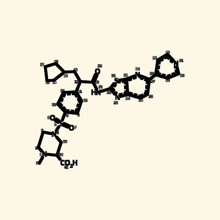 CN1CCN(S(=O)(=O)c2ccc(C(CC3CCCC3)C(=O)Nc3nc4ccc(-c5ccncc5)nc4s3)cc2)CC1C(=O)O